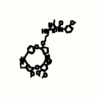 COc1cccc(NC(=O)c2sc(NCCCOc3ccc4cc3Oc3ccc(cc3)C[C@H]3c5cc(c(OC)cc5CCN3C)Oc3c(OC)c(OC)cc5c3[C@@H](C4)N(C)CC5)nc2C)c1